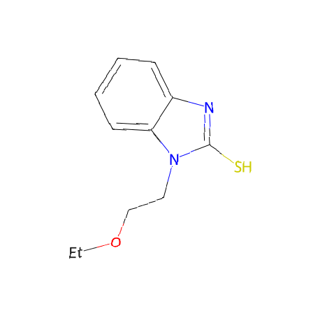 CCOCCn1c(S)nc2ccccc21